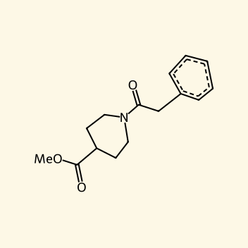 COC(=O)C1CCN(C(=O)Cc2ccccc2)CC1